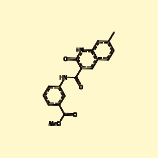 COC(=O)c1cccc(NC(=O)c2cc3ccc(C)cc3[nH]c2=O)c1